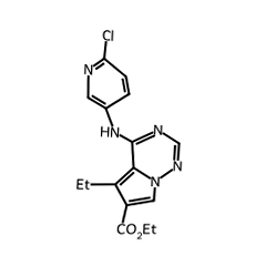 CCOC(=O)c1cn2ncnc(Nc3ccc(Cl)nc3)c2c1CC